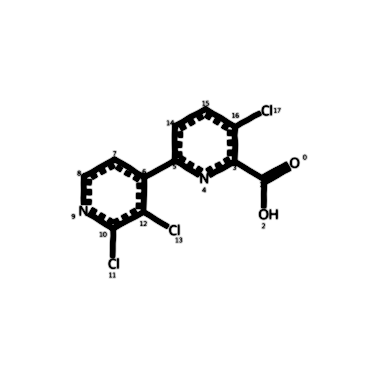 O=C(O)c1nc(-c2ccnc(Cl)c2Cl)ccc1Cl